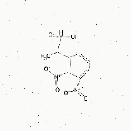 CC(c1cccc([N+](=O)[O-])c1[N+](=O)[O-])[PH](=O)Cl